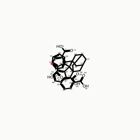 O=C(O)c1ccccc1C12CC3CC(C1)CC(c1ccccc1C(=O)O)(C3)C2(c1ccccc1C(=O)O)c1ccccc1C(=O)O